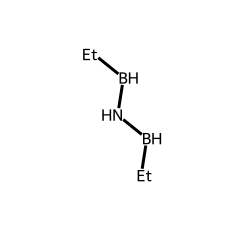 CCBNBCC